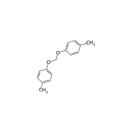 Cc1ccc(O[CH]Oc2ccc(C)cc2)cc1